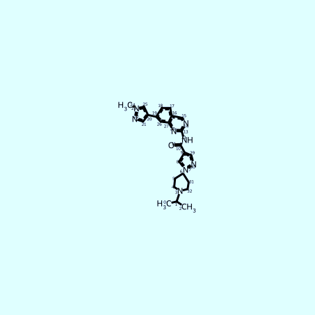 CC(C)N1CCC(n2cc(C(=O)Nc3ncc4ccc(-c5cnn(C)c5)cc4n3)cn2)CC1